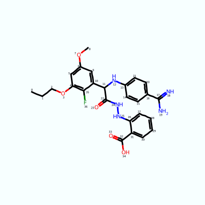 CCCOc1cc(OC)cc(C(Nc2ccc(C(=N)N)cc2)C(=O)NNc2ccccc2C(=O)O)c1F